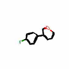 Fc1ccc(C2=CC=COC2)cc1